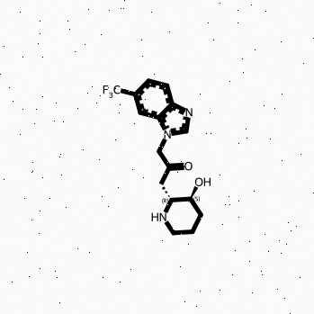 O=C(C[C@H]1NCCC[C@@H]1O)Cn1cnc2ccc(C(F)(F)F)cc21